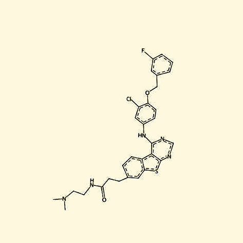 CN(C)CCNC(=O)CCc1ccc2c(c1)sc1ncnc(Nc3ccc(OCc4cccc(F)c4)c(Cl)c3)c12